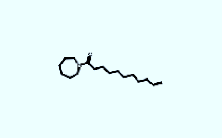 C=CCCCCCCCCC(=O)N1CCCCCC1